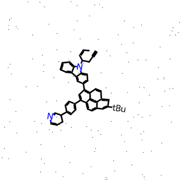 C#CCC(/C=C\C)n1c2ccccc2c2cc(-c3cc(-c4ccc(C5C=NC=CC5)cc4)c4ccc5cc(C(C)(C)C)cc6ccc3c4c56)ccc21